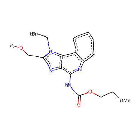 CCOCc1nc2c(NC(=O)OCCOC)nc3ccccc3c2n1CC(C)(C)C